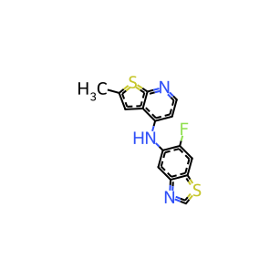 Cc1cc2c(Nc3cc4ncsc4cc3F)ccnc2s1